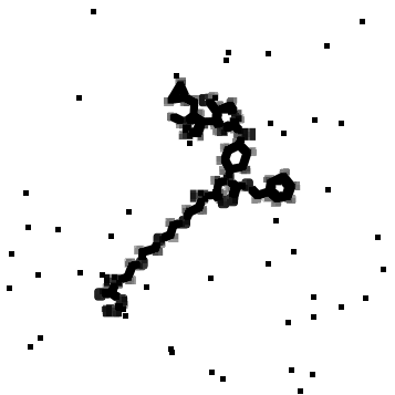 Cn1ncc(-c2nc(NC3CCC(N(CC(=O)NCCOCCOCCOCCNC(=O)OC(C)(C)C)C(=O)OCc4ccccc4)CC3)ncc2Cl)c1CC1CC1